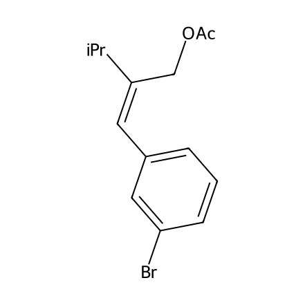 CC(=O)OCC(=Cc1cccc(Br)c1)C(C)C